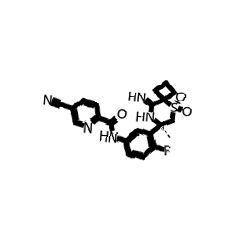 C[C@@]1(c2cc(NC(=O)c3ccc(C#N)cn3)ccc2F)CS(=O)(=O)C2(CCC2)C(=N)N1